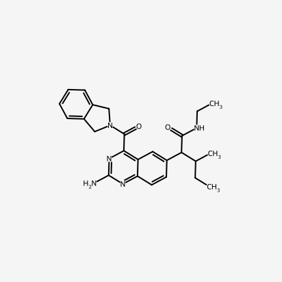 CCNC(=O)C(c1ccc2nc(N)nc(C(=O)N3Cc4ccccc4C3)c2c1)C(C)CC